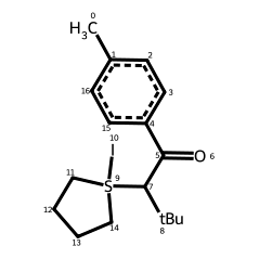 Cc1ccc(C(=O)C(C(C)(C)C)S2(I)CCCC2)cc1